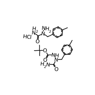 Cc1ccc(CN(N)C(N)=O)cc1.Cc1ccc(CN(NC(=O)OC(C)(C)C)C(N)=O)cc1.Cl